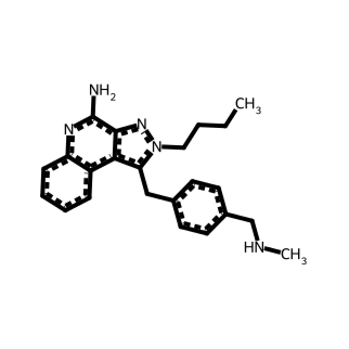 CCCCn1nc2c(N)nc3ccccc3c2c1Cc1ccc(CNC)cc1